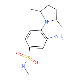 CNS(=O)(=O)c1ccc(N2C(C)CCC2C)c(N)c1